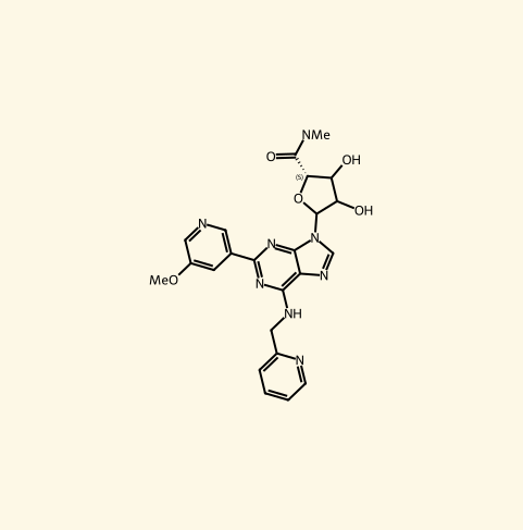 CNC(=O)[C@H]1OC(n2cnc3c(NCc4ccccn4)nc(-c4cncc(OC)c4)nc32)C(O)C1O